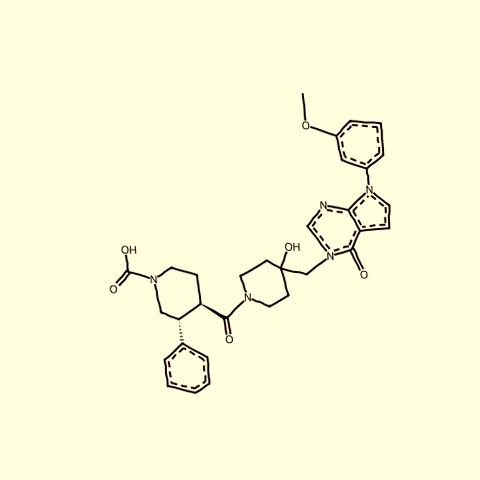 COc1cccc(-n2ccc3c(=O)n(CC4(O)CCN(C(=O)[C@@H]5CCN(C(=O)O)C[C@H]5c5ccccc5)CC4)cnc32)c1